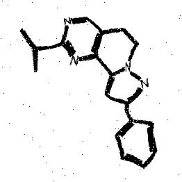 CC(C)c1ncc2c(n1)-c1cc(-c3ccccc3)nn1CC2